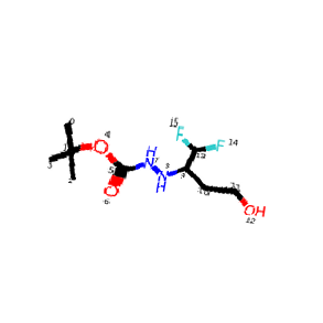 CC(C)(C)OC(=O)NNC(CCO)C(F)F